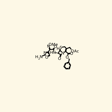 CO/N=C(\C(=O)N[C@@H]1C(=O)N2C(C(=O)OCc3ccccc3)=C(COC(C)=O)CS[C@@H]12)c1coc(N)n1